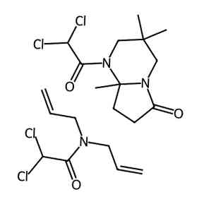 C=CCN(CC=C)C(=O)C(Cl)Cl.CC1(C)CN2C(=O)CCC2(C)N(C(=O)C(Cl)Cl)C1